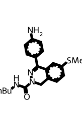 CCCCNC(=O)N1Cc2ccc(SC)cc2C(c2ccc(N)cc2)=N1